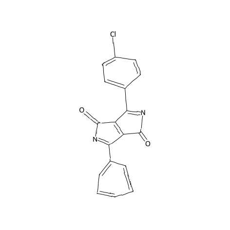 O=c1nc(-c2ccc(Cl)cc2)c2c(=O)nc(-c3ccccc3)c1=2